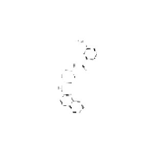 COc1cccc(C(=O)NC2CCC(Nc3ccc4ccccc4n3)CC2)c1